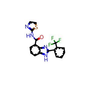 O=C(Nc1nccs1)c1cccc2[nH]c(-c3ccccc3C(F)(F)F)nc12